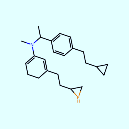 CC(c1ccc(CCC2CC2)cc1)N(C)C1=CCCC(CCC2CP2)=C1